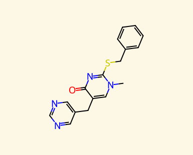 Cn1cc(Cc2cncnc2)c(=O)nc1SCc1ccccc1